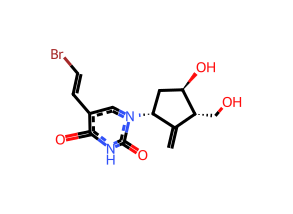 C=C1[C@@H](CO)[C@H](O)C[C@H]1n1cc(/C=C/Br)c(=O)[nH]c1=O